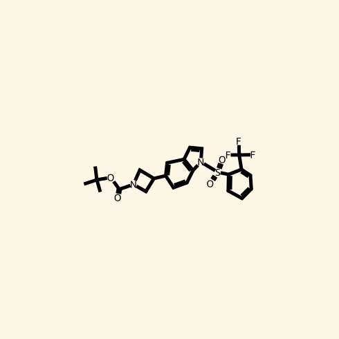 CC(C)(C)OC(=O)N1CC(c2ccc3c(ccn3S(=O)(=O)c3ccccc3C(F)(F)F)c2)C1